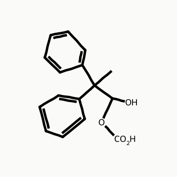 CC(c1ccccc1)(c1ccccc1)C(O)OC(=O)O